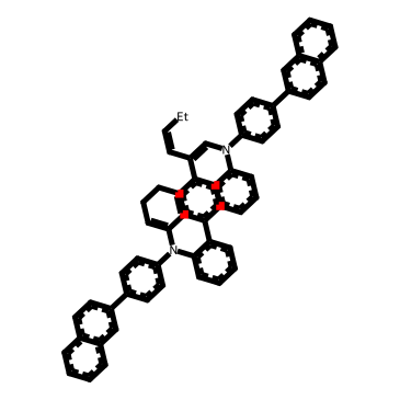 CC/C=C\C(=C\N(c1ccccc1)c1ccc(-c2ccc3ccccc3c2)cc1)c1ccc(-c2ccccc2N(C2=CCCC=C2)c2ccc(-c3ccc4ccccc4c3)cc2)cc1